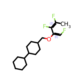 C/C(F)=C(F)\C(=C/F)OCC1CCC(C2CCCCC2)CC1